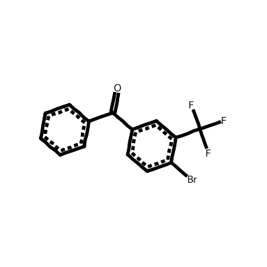 O=C(c1ccccc1)c1ccc(Br)c(C(F)(F)F)c1